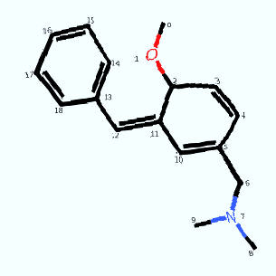 COC1C=CC(CN(C)C)=[C]C1=Cc1ccccc1